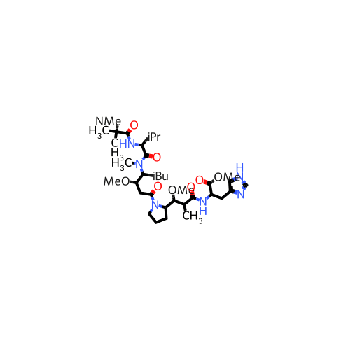 CCC(C)C(C(CC(=O)N1CCCC1C(OC)C(C)C(=O)NC(Cc1c[nH]cn1)C(=O)OC)OC)N(C)C(=O)C(NC(=O)C(C)(C)NC)C(C)C